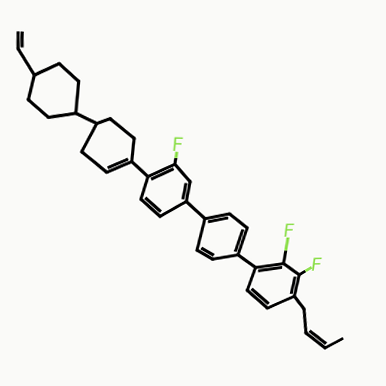 C=CC1CCC(C2CC=C(c3ccc(-c4ccc(-c5ccc(C/C=C\C)c(F)c5F)cc4)cc3F)CC2)CC1